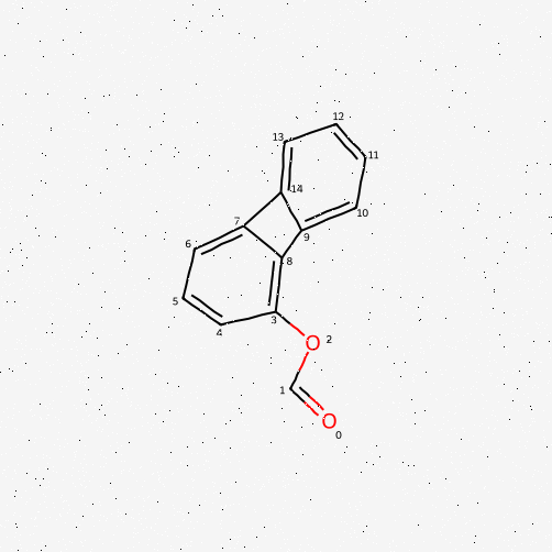 O=COc1cccc2c1-c1ccccc1-2